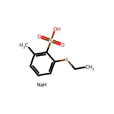 CCSc1cccc(C)c1S(=O)(=O)O.[NaH]